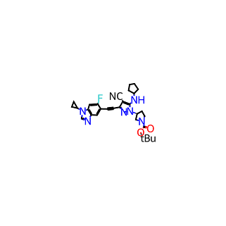 CC(C)(C)OC(=O)N1CC[C@H](n2nc(C#Cc3cc4ncn(C5CC5)c4cc3F)c(C#N)c2NC2CCCC2)C1